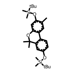 Cc1cc2c(cc1O[Si](C)(C)C(C)(C)C)OC(C)(C)c1cc(O[Si](C)(C)C(C)(C)C)ccc1-2